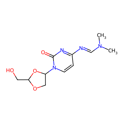 CN(C)C=Nc1ccn(C2COC(CO)O2)c(=O)n1